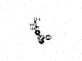 OCCNC(=S)Nc1ccc(-c2nc(N3CCOCC3)c3cccn3n2)cc1